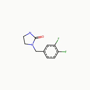 O=C1[N]CCN1Cc1ccc(F)c(F)c1